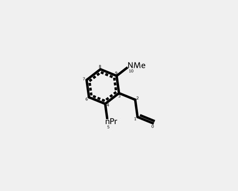 C=CCc1c(CCC)cccc1NC